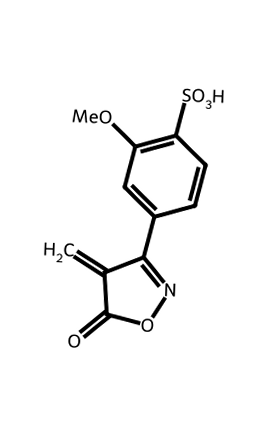 C=C1C(=O)ON=C1c1ccc(S(=O)(=O)O)c(OC)c1